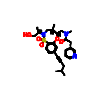 CC(C)CC#Cc1ccc2c(c1)O[C@H](CN(C)C(=O)Cc1cccnc1)[C@H](C)CN([C@H](C)CO)S2(=O)=O